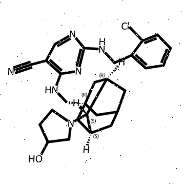 N#Cc1cnc(NCc2ccccc2Cl)nc1NC[C@@]12CC3C[C@H](C1)[C@@H](N1CCC(O)C1)[C@@H](C3)C2